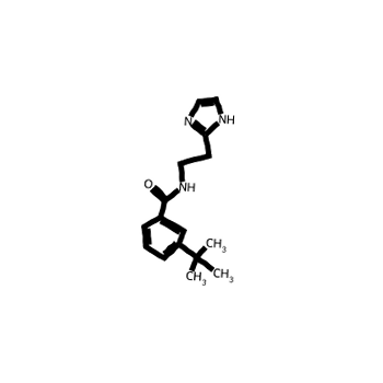 CC(C)(C)c1cccc(C(=O)NCCc2ncc[nH]2)c1